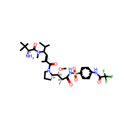 CO[C@H]([C@@H](C)C(=O)NS(=O)(=O)c1ccc(NC(=O)C(F)(F)F)cc1)[C@@H]1CCCN1C(=O)/C(C)=C/C(C(C)C)N(C)C(=O)[C@@H](N)C(C)(C)C